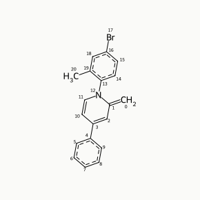 C=C1C=C(c2ccccc2)C=CN1c1ccc(Br)cc1C